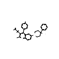 Cc1nc2ccc(N3CCC(O)(c4ccccc4)CC3)cc2c(-c2ccc(F)cc2)c1C(F)(F)C(=O)F